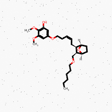 CCCCCCOC[C@H]1[C@@H](C/C=C\CCOc2cc(O)c(OC)c(OC)c2)[C@H]2CC[C@@H]1O2